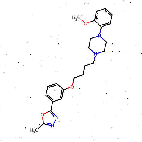 COc1ccccc1N1CCN(CCCCOc2cccc(-c3nnc(C)o3)c2)CC1